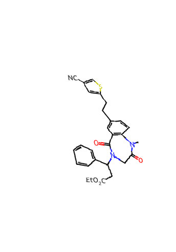 CCOC(=O)CC(c1ccccc1)N1CC(=O)N(C)c2ccc(CCc3cc(C#N)cs3)cc2C1=O